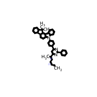 C=C/C=C\C=C(/C)c1cc(-c2ccc(-n3c4ccccc4c4c5c(ccc43)-c3ccccc3C5(C)C)cc2)nc(-c2ccccc2)n1